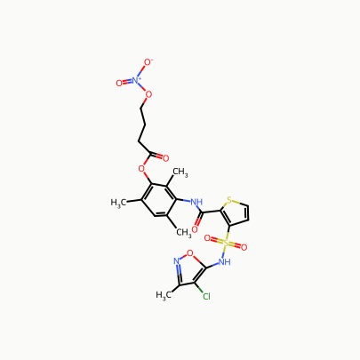 Cc1cc(C)c(OC(=O)CCCO[N+](=O)[O-])c(C)c1NC(=O)c1sccc1S(=O)(=O)Nc1onc(C)c1Cl